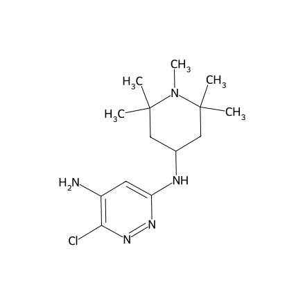 CN1C(C)(C)CC(Nc2cc(N)c(Cl)nn2)CC1(C)C